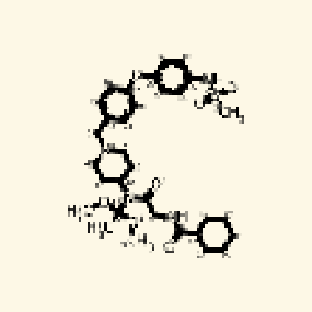 COC(C)(OC)N(C(=O)CNC(=O)C1CCCCC1)C1CCN(Cc2ccc(Oc3ccc(NS(C)(=O)=O)cc3)cc2)CC1